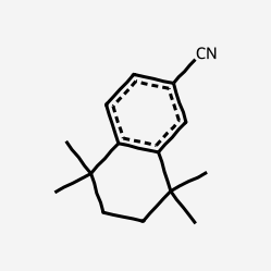 CC1(C)CCC(C)(C)c2cc(C#N)ccc21